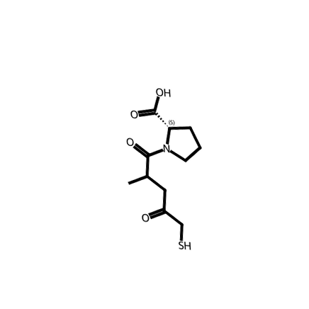 CC(CC(=O)CS)C(=O)N1CCC[C@H]1C(=O)O